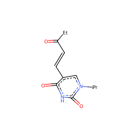 CCC(=O)/C=C/c1cn(C(C)C)c(=O)[nH]c1=O